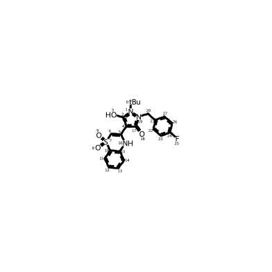 CC(C)(C)n1c(O)c(C2=CS(=O)(=O)c3ccccc3N2)c(=O)n1Cc1ccc(F)cc1